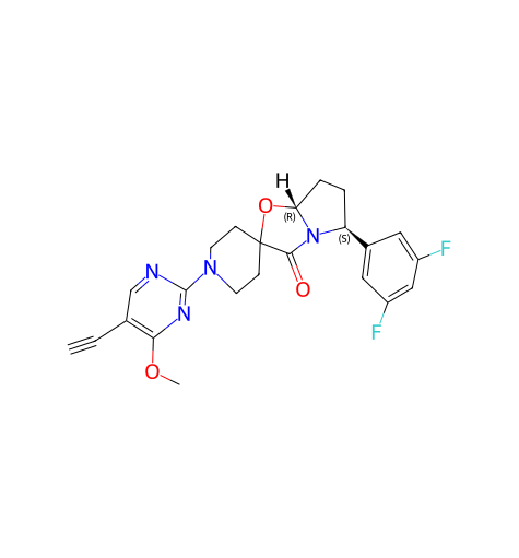 C#Cc1cnc(N2CCC3(CC2)O[C@@H]2CC[C@@H](c4cc(F)cc(F)c4)N2C3=O)nc1OC